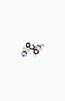 COC(=O)Cn1c(C)c(Cc2ccccc2S(=O)(=O)c2cncnc2)c2cc(F)ccc21